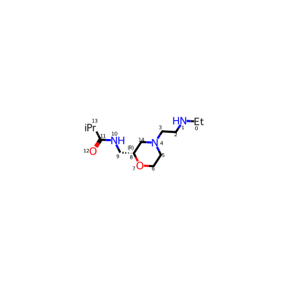 CCNCCN1CCO[C@H](CNC(=O)C(C)C)C1